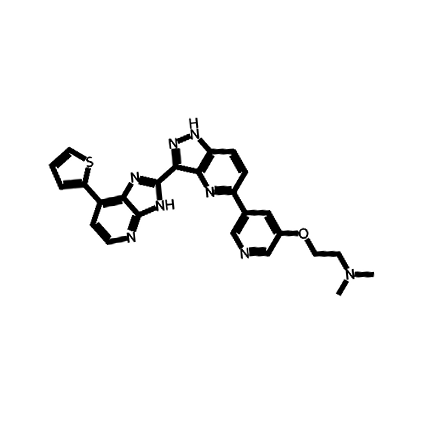 CN(C)CCOc1cncc(-c2ccc3[nH]nc(-c4nc5c(-c6cccs6)ccnc5[nH]4)c3n2)c1